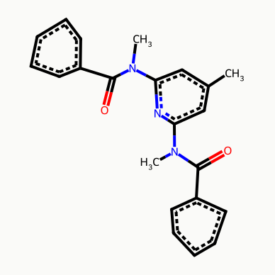 Cc1cc(N(C)C(=O)c2ccccc2)nc(N(C)C(=O)c2ccccc2)c1